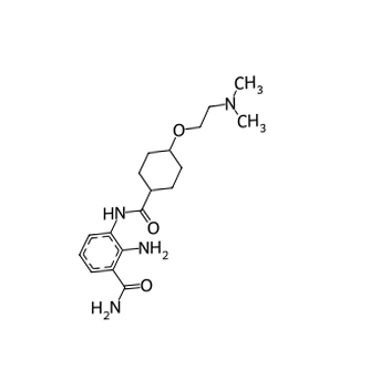 CN(C)CCOC1CCC(C(=O)Nc2cccc(C(N)=O)c2N)CC1